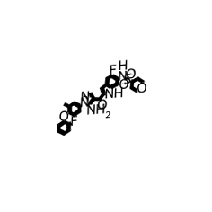 Cc1cc(-n2ncc(C(=O)c3cc4cc(F)c(NS(=O)(=O)C5CCOCC5)cc4[nH]3)c2N)ccc1Oc1ccccc1F